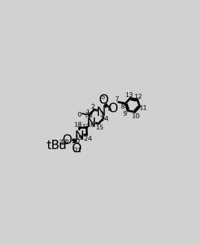 C[C@H]1CN(C(=O)OCc2ccccc2)CCN1C1CN(C(=O)OC(C)(C)C)C1